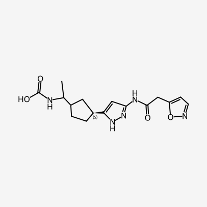 CC(NC(=O)O)C1CC[C@H](c2cc(NC(=O)Cc3ccno3)n[nH]2)C1